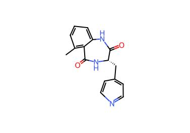 Cc1cccc2c1C(=O)N[C@@H](Cc1ccncc1)C(=O)N2